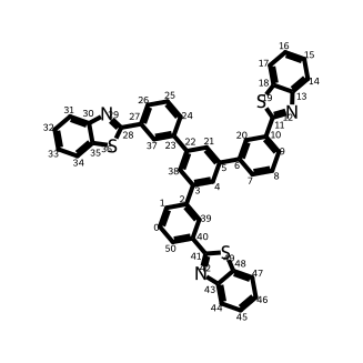 c1cc(-c2cc(-c3cccc(-c4nc5ccccc5s4)c3)cc(-c3cccc(-c4nc5ccccc5s4)c3)c2)cc(-c2nc3ccccc3s2)c1